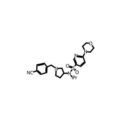 CC(C)N(C1CCN(Cc2ccc(C#N)cc2)C1)S(=O)(=O)c1ccc(N2CCOCC2)nc1